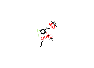 CCCCOC(=O)c1c(F)c(F)cc(CCB2OC(C)(C)C(C)(C)O2)c1OC(=O)OC(C)(C)C